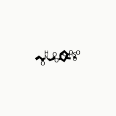 C=CC(=O)NCC(=O)OC1CC2(C)OC1CC2O[SH](=O)=O